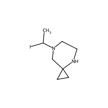 CC(I)N1CCNC2(CC2)C1